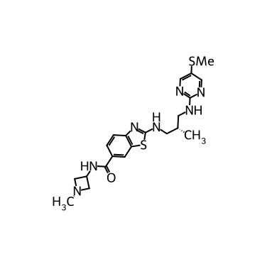 CSc1cnc(NC[C@H](C)CNc2nc3ccc(C(=O)NC4CN(C)C4)cc3s2)nc1